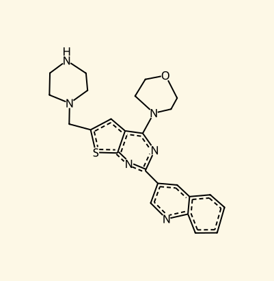 c1ccc2ncc(-c3nc(N4CCOCC4)c4cc(CN5CCNCC5)sc4n3)cc2c1